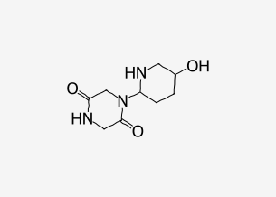 O=C1CN(C2CCC(O)CN2)C(=O)CN1